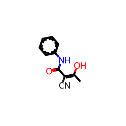 CC(O)=C(C#N)C(=O)Nc1ccccc1